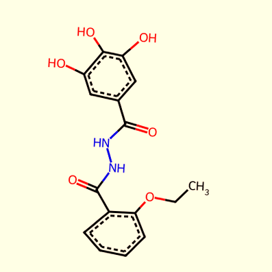 CCOc1ccccc1C(=O)NNC(=O)c1cc(O)c(O)c(O)c1